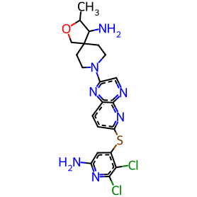 CC1OCC2(CCN(c3cnc4nc(Sc5cc(N)nc(Cl)c5Cl)ccc4n3)CC2)C1N